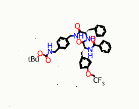 CC(C)(C)OC(=O)NCc1ccc(CNC(=O)[C@H](Cc2ccccc2)NC(=O)[C@@H](Cc2ccc(OCC(F)(F)F)cc2)NC(=O)c2ccccc2)cc1